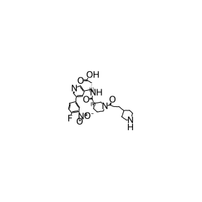 O=C(O)C[C@H](NC(=O)[C@@H]1CCCN(C(=O)CCC2CCNCC2)C1)c1cncc(-c2ccc(F)c([N+](=O)[O-])c2)c1